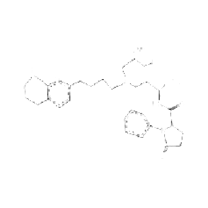 CO[C@H](CF)CN(CCCCc1ccc2c(n1)NCCC2)CC[C@H](NC(=O)C1CCC(=O)N1c1ccccc1)C(=O)O